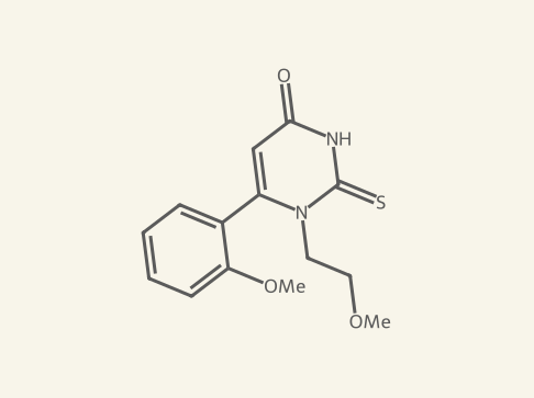 COCCn1c(-c2ccccc2OC)cc(=O)[nH]c1=S